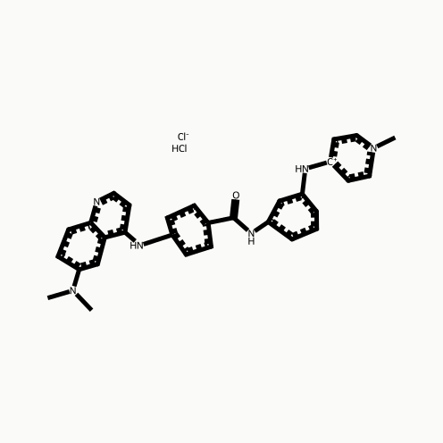 CN(C)c1ccc2nccc(Nc3ccc(C(=O)Nc4cccc(N[c+]5ccn(C)cc5)c4)cc3)c2c1.Cl.[Cl-]